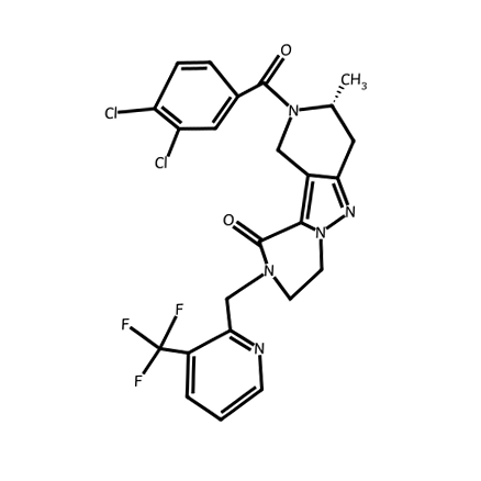 C[C@@H]1Cc2nn3c(c2CN1C(=O)c1ccc(Cl)c(Cl)c1)C(=O)N(Cc1ncccc1C(F)(F)F)CC3